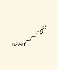 CCCCCCCCC[CH]OCC